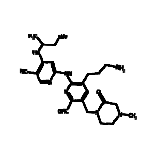 CSCC(C)Nc1cc(Nc2nc(C=O)c(CN3CCN(C)CC3=O)cc2CCCN)ncc1C#N